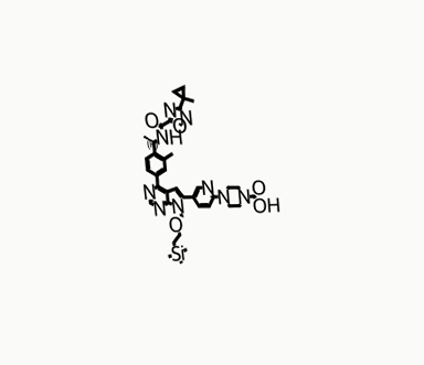 Cc1cc(-c2ncnc3c2cc(-c2ccc(N4CCN(C(=O)O)CC4)nc2)n3COCC[Si](C)(C)C)ccc1[C@@H](C)NC(=O)c1nc(C2(C)CC2)no1